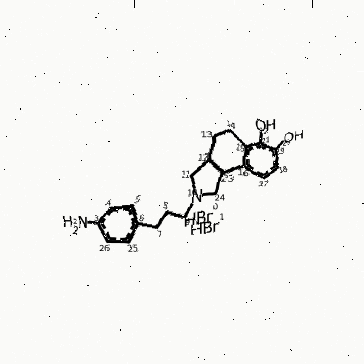 Br.Br.Nc1ccc(CCCN2CC3CCc4c(ccc(O)c4O)C3C2)cc1